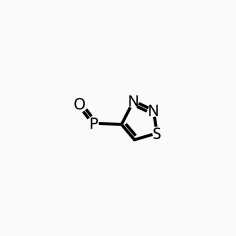 O=Pc1csnn1